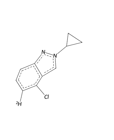 [2H]c1ccc2nn(C3CC3)cc2c1Cl